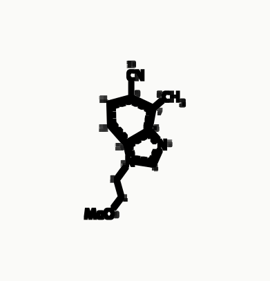 COCCn1cnc2c(C)c(C#N)ccc21